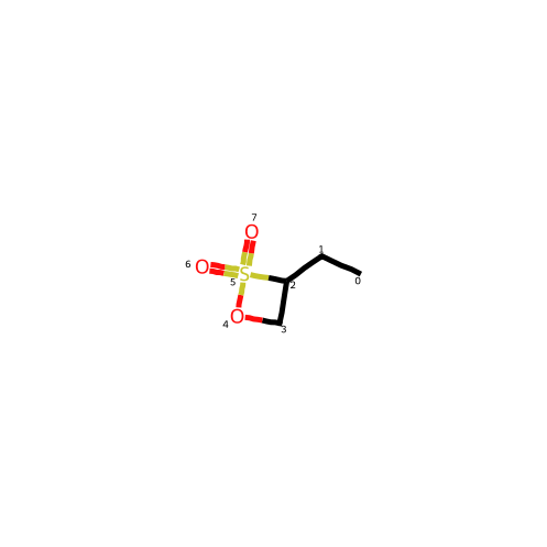 CCC1COS1(=O)=O